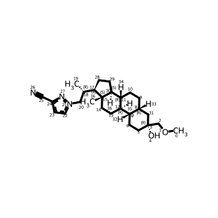 COC[C@@]1(O)CC[C@H]2[C@H](CC[C@@H]3[C@@H]2CC[C@]2(C)[C@@H]([C@@H](C)Cn4ccc(C#N)n4)CC[C@@H]32)C1